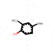 COc1[c]cc(O)c(S(=O)(=O)O)c1